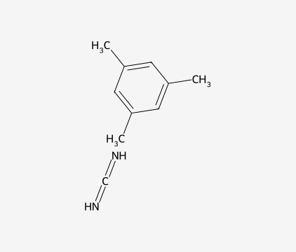 Cc1cc(C)cc(C)c1.N=C=N